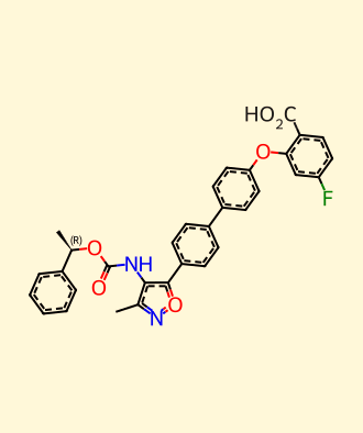 Cc1noc(-c2ccc(-c3ccc(Oc4cc(F)ccc4C(=O)O)cc3)cc2)c1NC(=O)O[C@H](C)c1ccccc1